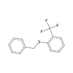 FC(F)(F)c1ccc[c]c1SCc1ccccc1